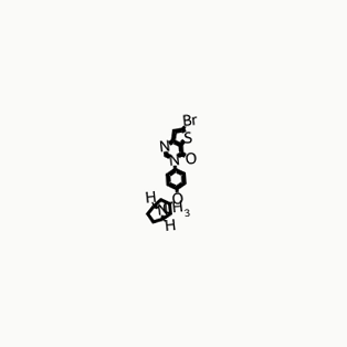 CN1[C@@H]2CC[C@H]1C[C@H](Oc1ccc(-n3cnc4cc(Br)sc4c3=O)cc1)C2